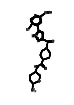 COc1cc(-c2cc(C(=O)N3CCC(C(=O)NC4CCC(C(F)(F)F)OC4)CC3)n[nH]2)c(Cl)cn1